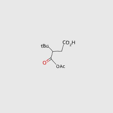 CC(=O)OC(=O)C(CC(=O)O)C(C)(C)C